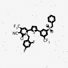 N#Cc1c(C(F)(F)F)cc(-c2ccc(-c3cc(C(F)(F)F)cc(S(=O)(=O)Cc4ccccc4)c3)s2)n(Cc2ccc(F)cc2F)c1=O